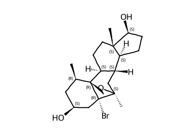 C[C@@H]1C[C@H](O)C[C@@]2(Br)[C@]13CO[C@@]2(C)C[C@H]1[C@@H]2CC[C@H](O)[C@@]2(C)CC[C@@H]13